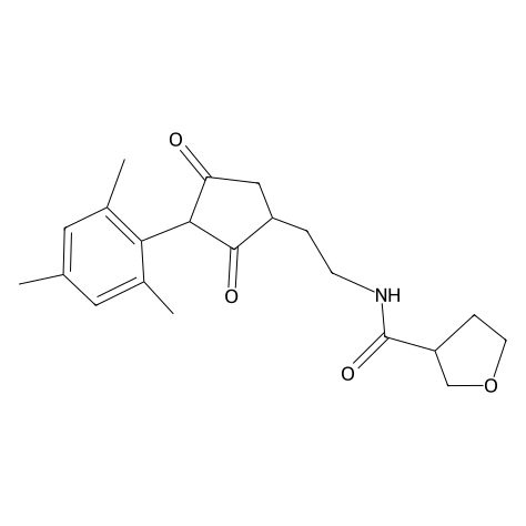 Cc1cc(C)c(C2C(=O)CC(CCNC(=O)C3CCOC3)C2=O)c(C)c1